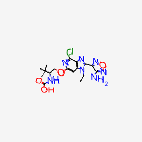 CCn1c(-c2nonc2N)nc2c(Cl)nc(OCC(NC(=O)O)C(C)(C)C)cc21